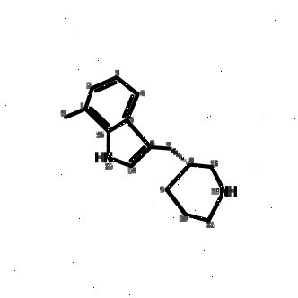 Cc1cccc2c(C[C@H]3CCCNC3)c[nH]c12